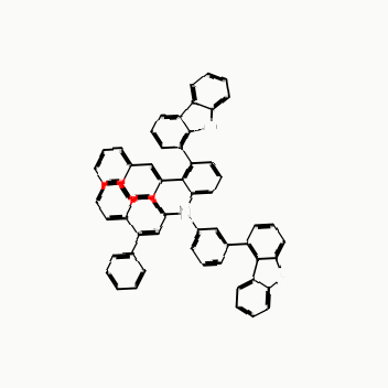 c1ccc(-c2cc(N(c3cccc(-c4cccc5sc6ccccc6c45)c3)c3cccc(-c4cccc5c4oc4ccccc45)c3-c3ccc4ccccc4c3)cc3ccccc23)cc1